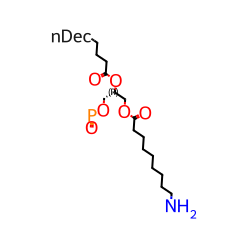 CCCCCCCCCCCCCC(=O)O[C@@H](COP=O)COC(=O)CCCCCCCCN